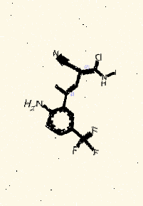 C/C(=C\C(C#N)=C(\Cl)NI)c1cc(C(F)(F)F)ccc1N